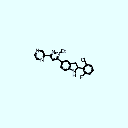 CCn1nc(-c2cnccn2)cc1-c1ccc2c(c1)CC(c1c(F)cccc1Cl)N2